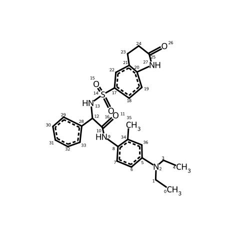 CCN(CC)c1ccc(NC(=O)C(NS(=O)(=O)c2ccc3c(c2)CCC(=O)N3)c2ccccc2)c(C)c1